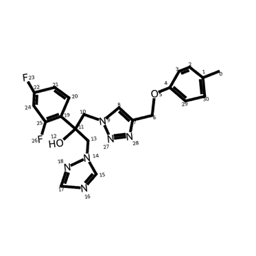 Cc1ccc(OCc2cn(CC(O)(Cn3cncn3)c3ccc(F)cc3F)nn2)cc1